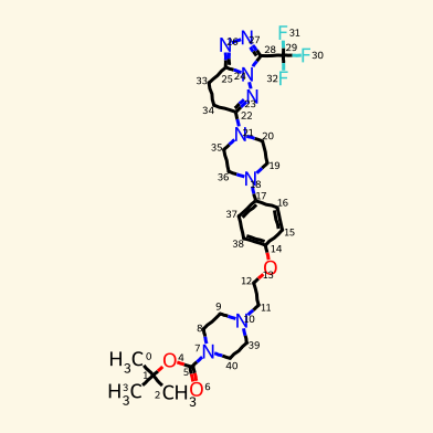 CC(C)(C)OC(=O)N1CCN(CCOc2ccc(N3CCN(C4=Nn5c(nnc5C(F)(F)F)CC4)CC3)cc2)CC1